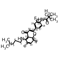 CN(C)CCCNc1c(F)cc(F)c2oc(-c3ccc(NC(=O)C(C)(C)C)c(F)c3)cc(=O)c12